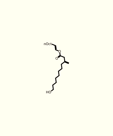 C=C(CCCCCCCCO)CC(=O)OC=CCCCCCCCC